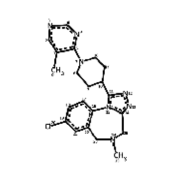 Cc1cncnc1N1CCC(c2nnc3n2-c2ccc(Cl)cc2CN(C)C3)CC1